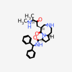 CN[C@@H](C)C(=O)C[C@H]1CNCC[C@H]2CC[C@@H](C(=O)NC(c3ccccc3)c3ccccc3)N2C1=O